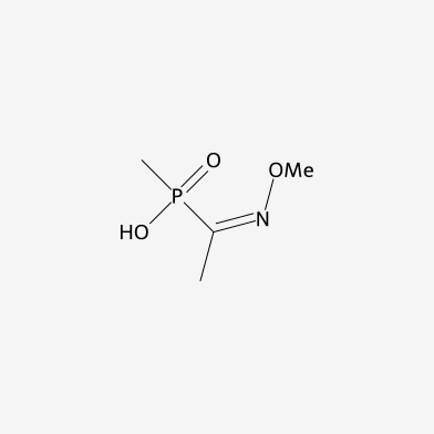 CON=C(C)P(C)(=O)O